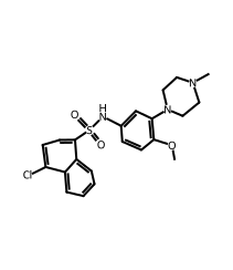 COc1ccc(NS(=O)(=O)c2ccc(Cl)c3ccccc23)cc1N1CCN(C)CC1